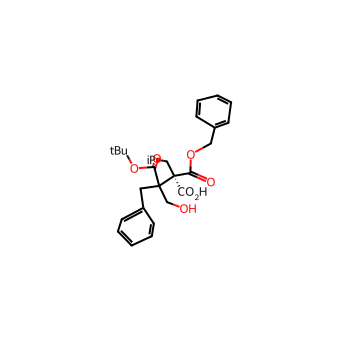 CC(C)C[C@@](C(=O)O)(C(=O)OCc1ccccc1)C(CO)(Cc1ccccc1)C(=O)OC(C)(C)C